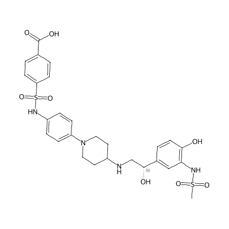 CS(=O)(=O)Nc1cc([C@H](O)CNC2CCN(c3ccc(NS(=O)(=O)c4ccc(C(=O)O)cc4)cc3)CC2)ccc1O